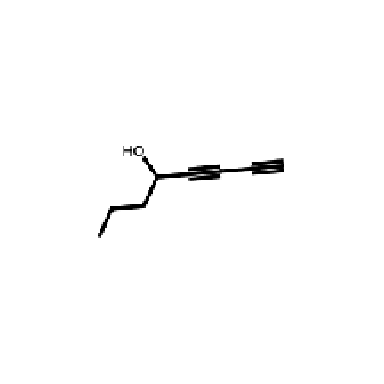 C#CC#CC(O)CCC